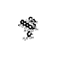 COc1cccc2c1C(=O)c1c(O)c3c(c(O)c1C2=O)C[C@@](O)(C(=O)CO)C[C@@H]3O[C@H]1C[C@H](N)[C@H](O)[C@H](C)O1.O=P1(NCCCl)OCCCN1CCCl